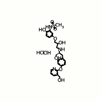 CS(=O)(=O)Nc1cc(OC[C@@H](O)CN[C@H](CO)Cc2ccc(Oc3ncccc3CO)cc2)ccc1O.Cl.Cl